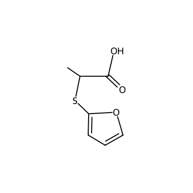 CC(Sc1ccco1)C(=O)O